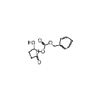 O=C(OCc1ccccc1)ON1C(=O)CCC1O